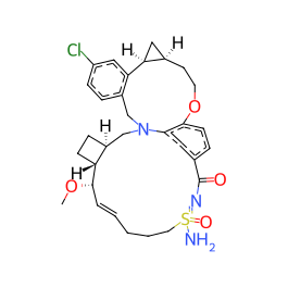 CO[C@H]1/C=C/CCCS(N)(=O)=NC(=O)c2ccc3c(c2)N(Cc2ccc(Cl)cc2[C@H]2C[C@H]2CCO3)C[C@@H]2CC[C@H]21